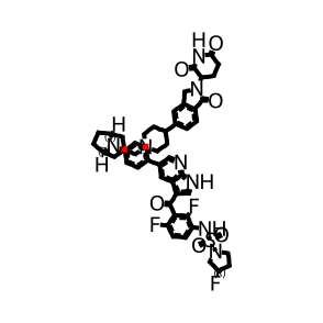 O=C1CCC(N2Cc3cc(C4CCN(CC5C[C@H]6CC[C@@H](C5)N6c5ccc(-c6cnc7[nH]cc(C(=O)c8c(F)ccc(NS(=O)(=O)N9CC[C@@H](F)C9)c8F)c7c6)cc5)CC4)ccc3C2=O)C(=O)N1